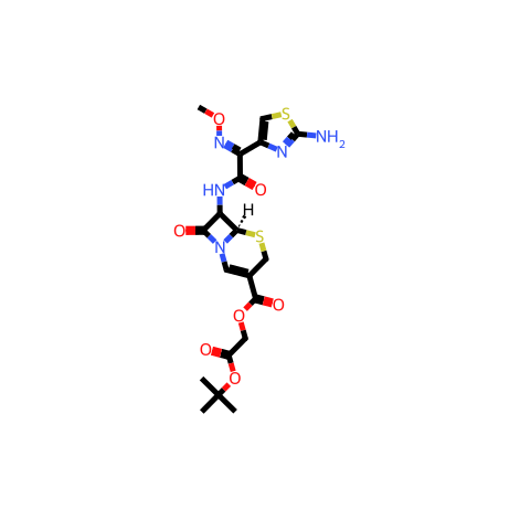 CON=C(C(=O)NC1C(=O)N2C=C(C(=O)OCC(=O)OC(C)(C)C)CS[C@H]12)c1csc(N)n1